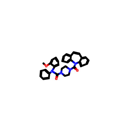 COc1ccccc1N(C(=O)N1CCN(C(=O)N2c3ccccc3C=Cc3ccccc32)CC1)c1ccccc1